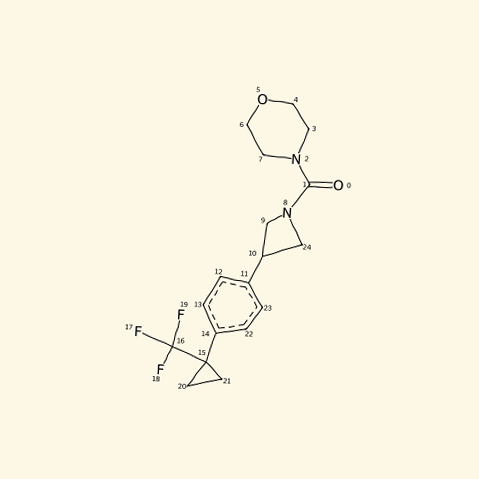 O=C(N1CCOCC1)N1CC(c2ccc(C3(C(F)(F)F)CC3)cc2)C1